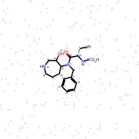 CC(C)C[C@H](NC(=O)O)C(=O)N(Cc1ccccc1)C1CCCNCC1O